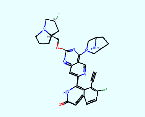 C#Cc1c(F)ccc2cc(=O)[nH]c(-c3cc4nc(OC[C@@]56CCCN5C[C@H](F)C6)nc(N5CC6CCC(C5)N6)c4cn3)c12